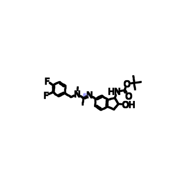 C/C(=N\c1ccc2c(c1)C(NC(=O)OC(C)(C)C)C(O)C2)N(C)Cc1ccc(F)c(F)c1